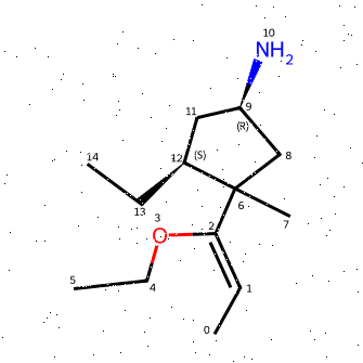 CC=C(OCC)C1(C)C[C@H](N)C[C@@H]1CC